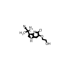 CC(C)(C#N)c1c[nH]c2cc(OCCO)c(Cl)nc12